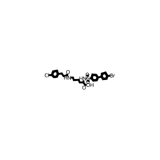 O=C(CCc1ccc(Cl)cc1)NCCCCC(NS(=O)(=O)c1ccc(-c2ccc(Br)cc2)cc1)C(=O)O